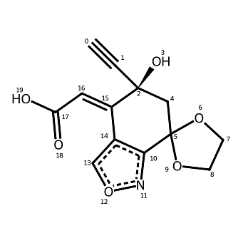 C#C[C@]1(O)CC2(OCCO2)c2nocc2/C1=C\C(=O)O